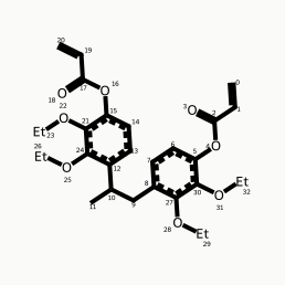 C=CC(=O)Oc1ccc(CC(C)c2ccc(OC(=O)C=C)c(OCC)c2OCC)c(OCC)c1OCC